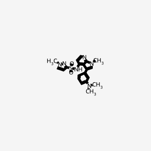 CN(C)c1cccc(-c2cn(C)c3nccc(NS(=O)(=O)c4ccn(C)n4)c23)c1